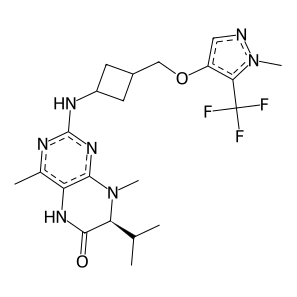 Cc1nc(NC2CC(COc3cnn(C)c3C(F)(F)F)C2)nc2c1NC(=O)[C@H](C(C)C)N2C